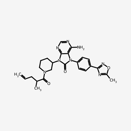 C=CCC(C)C(=O)N1CCCC(n2c(=O)n(-c3ccc(-c4noc(C)n4)cc3)c3c(N)ncnc32)C1